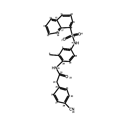 Cc1cc(NS(=O)(=O)c2cccc3cccnc23)ccc1NC(=O)Cc1ccc(C#N)cc1